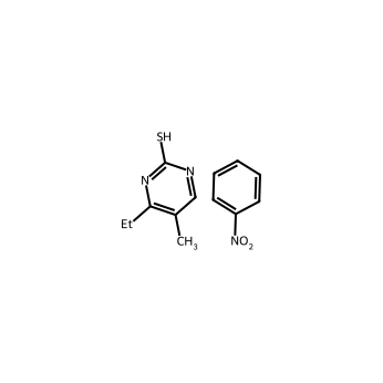 CCc1nc(S)ncc1C.O=[N+]([O-])c1ccccc1